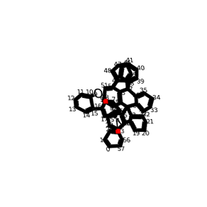 c1ccc(N(c2ccc3oc4ccccc4c3c2)c2ccccc2C2(c3ccccc3)c3ccccc3C3(c4ccccc4)c4ccccc4-c4cccc2c43)cc1